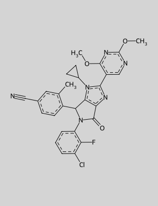 COc1ncc(-c2nc3c(n2C2CC2)C(c2ccc(C#N)cc2C)N(c2cccc(Cl)c2F)C3=O)c(OC)n1